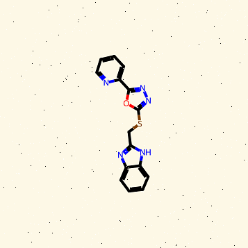 c1ccc(-c2nnc(SCc3nc4ccccc4[nH]3)o2)nc1